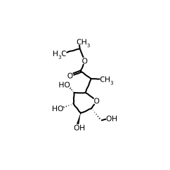 CC(C)OC(=O)C(C)C1O[C@H](CO)[C@@H](O)[C@H](O)[C@@H]1O